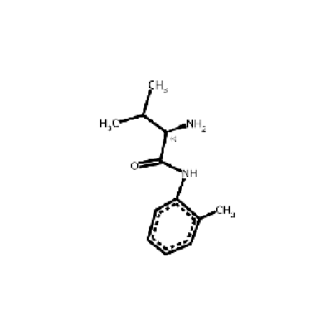 Cc1ccccc1NC(=O)[C@H](N)C(C)C